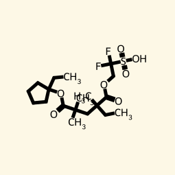 CCC1(OC(=O)C(C)(C)CC(C)(CC)C(=O)OCC(F)(F)S(=O)(=O)O)CCCC1